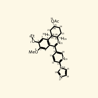 CCOc1cc2c(cc1OC)C(c1ccc(-n3ccnc3)nc1)=N[C@@H]1CC[C@@H](OC(C)=O)C[C@H]21